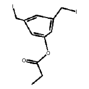 CCC(=O)Oc1cc(CI)cc(CI)c1